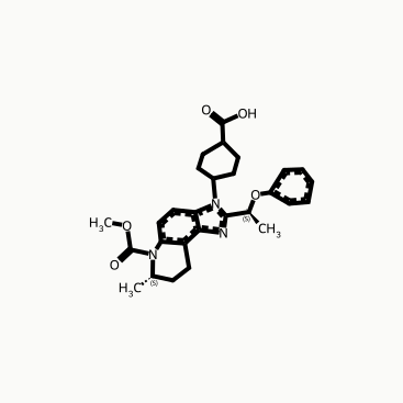 COC(=O)N1c2ccc3c(nc([C@H](C)Oc4ccccc4)n3C3CCC(C(=O)O)CC3)c2CC[C@@H]1C